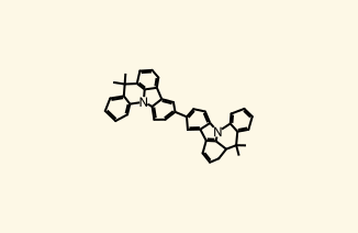 CC1(C)c2ccccc2-n2c3ccc(-c4ccc5c(c4)c4c6n5-c5ccccc5C(C)(C)C6CC=C4)cc3c3cccc1c32